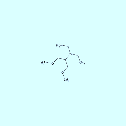 CCN(CC)C(COC)COC